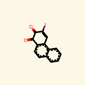 O=C1C(=O)c2ccc3ccccc3c2C=C1I